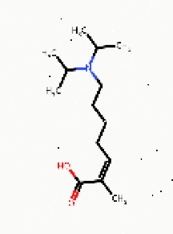 CC(=CCCCCN(C(C)C)C(C)C)C(=O)O